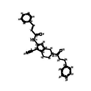 N#Cc1c(NC(=O)CCc2ccccc2)sc2c1CCN(C(=O)CCc1ccncc1)C2